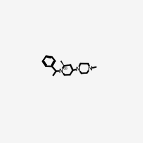 CC(c1ccccc1)N1CCC(N2CCN(C)CC2)C[C@@H]1C